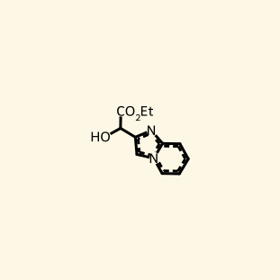 CCOC(=O)C(O)c1cn2ccccc2n1